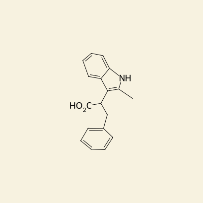 Cc1[nH]c2ccccc2c1C(Cc1ccccc1)C(=O)O